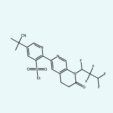 CCS(=O)(=O)c1cc(C(C)(C)C#N)cnc1-c1cc2c(cn1)N(C(F)C(F)(F)C(F)F)C(=O)CC2